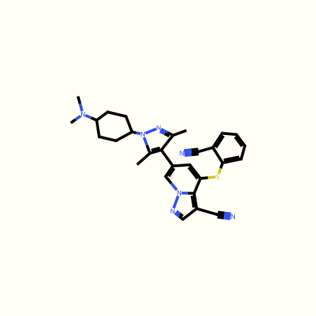 Cc1nn(C2CCC(N(C)C)CC2)c(C)c1-c1cc(Sc2ccccc2C#N)c2c(C#N)cnn2c1